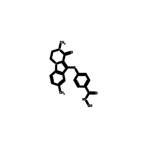 Cc1ccc2c(c1)c(Sc1ccc(C(=O)NO)cc1)c1n2CCN(C)C1=O